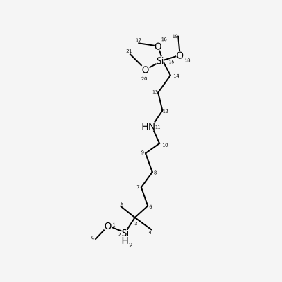 CO[SiH2]C(C)(C)CCCCCNCCC[Si](OC)(OC)OC